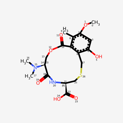 COc1cc(O)c2c(c1C)C(=O)OC[C@H](N(C)C)C(=O)N[C@H](C(=O)O)CSC2